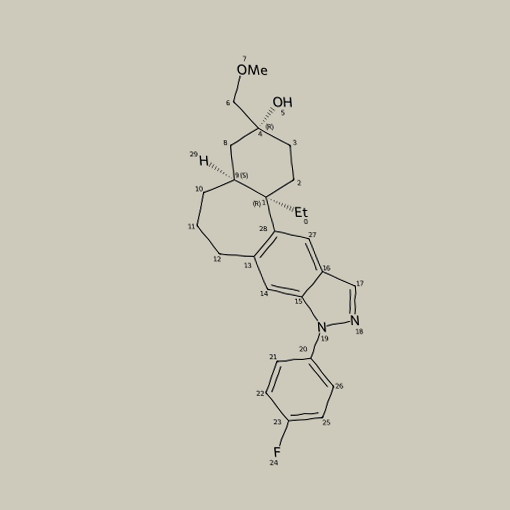 CC[C@@]12CC[C@](O)(COC)C[C@@H]1CCCc1cc3c(cnn3-c3ccc(F)cc3)cc12